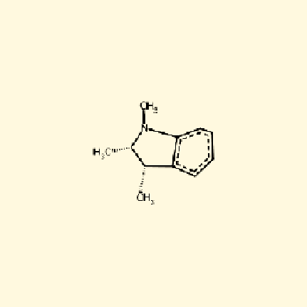 C[C@H]1c2ccccc2N(C)[C@H]1C